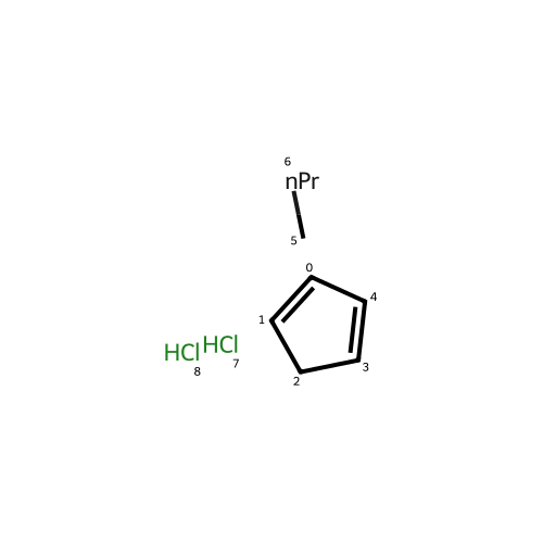 C1=CCC=C1.CCCC.Cl.Cl